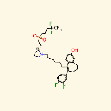 O=S(=O)(CCCC(F)(F)C(F)(F)F)CC[C@H]1CCCN1CCCCCCC1=C(c2ccc(F)c(F)c2)CCCc2cc(O)ccc21